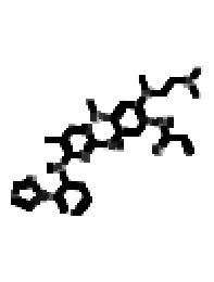 C=CC(=O)Nc1cc(Nc2ncc(C)c(Nc3ccccc3-n3cccn3)n2)c(OC)cc1N(C)CCN(C)C